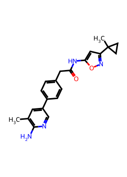 Cc1cc(-c2ccc(CC(=O)Nc3cc(C4(C)CC4)no3)cc2)cnc1N